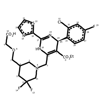 CCOC(=O)C1=C(CN2CC(COCC(=O)O)CC(F)(F)C2)NC(c2nccs2)=N[C@H]1c1ccc(F)cc1Cl